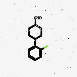 O=CC1CCC(c2ccccc2F)CC1